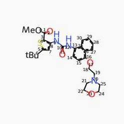 COC(=O)c1sc(C(C)(C)C)cc1NC(=O)Nc1ccc(OCCN2CCOCC2)c2ccccc12